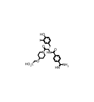 N=C(N)c1ccc(C(=O)N[C@@H](Cc2ccc(O)c(I)c2)C(=O)N2CCC(OCC(=O)O)CC2)cc1